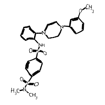 COc1cccc(N2CCN(c3ccccc3NS(=O)(=O)c3ccc(S(=O)(=O)N(C)C)cc3)CC2)c1